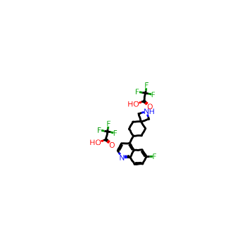 Fc1ccc2nccc(C3CCC4(CC3)CNC4)c2c1.O=C(O)C(F)(F)F.O=C(O)C(F)(F)F